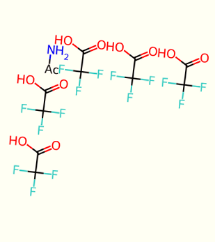 CC(N)=O.O=C(O)C(F)(F)F.O=C(O)C(F)(F)F.O=C(O)C(F)(F)F.O=C(O)C(F)(F)F.O=C(O)C(F)(F)F